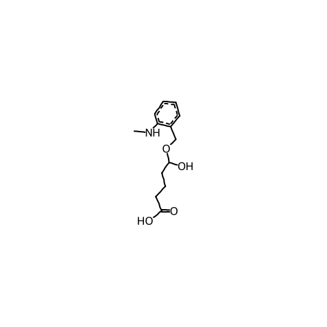 CNc1ccccc1COC(O)CCCC(=O)O